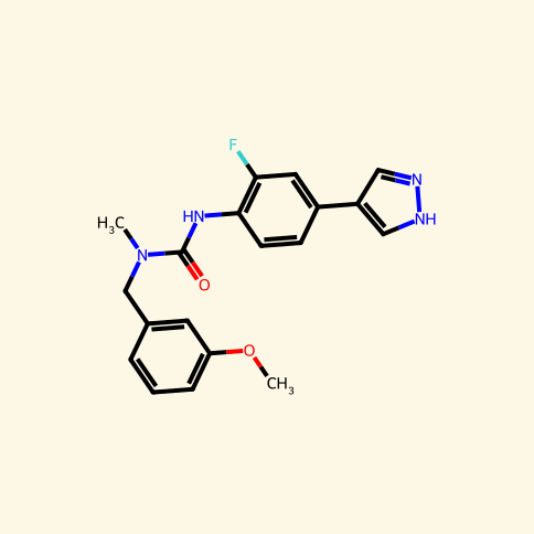 COc1cccc(CN(C)C(=O)Nc2ccc(-c3cn[nH]c3)cc2F)c1